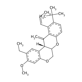 C=C1c2c(ccc(C(C)(C)C)c2/C=C\C)OC2COc3cc(OC)c(CC)cc3[C@H]12